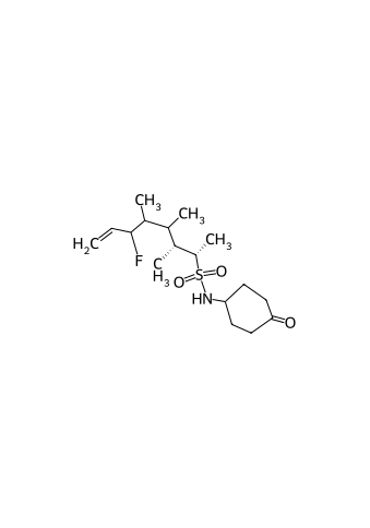 C=CC(F)C(C)C(C)[C@@H](C)[C@H](C)S(=O)(=O)NC1CCC(=O)CC1